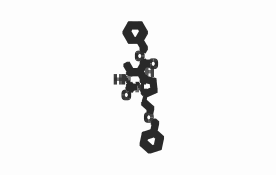 CC1=C(C(=O)OCc2ccccc2)[C@@H]2CC[C@@H](CCOCc3ccccc3)N2C(=O)N1